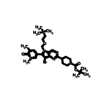 Cc1cc(-c2c(Br)c3nc(C4CCN(C(=O)OC(C)(C)C)CC4)ncc3n2COCCS(C)(C)C)cn(C)c1=O